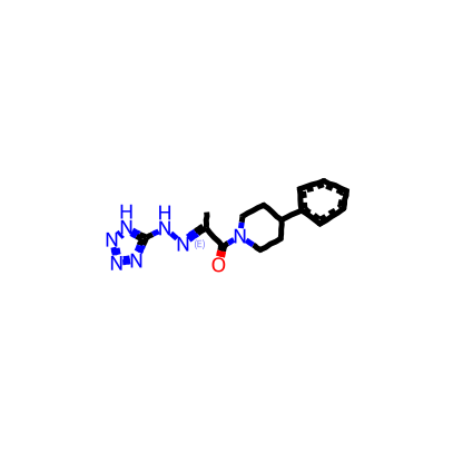 C/C(=N\Nc1nnn[nH]1)C(=O)N1CCC(c2ccccc2)CC1